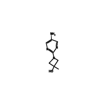 CC1(O)CN(c2ncc(N)cn2)C1